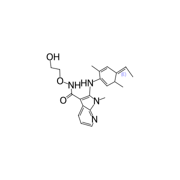 C/C=C1/C=C(C)C(Nc2c(C(=O)NOCCO)c3cccnc3n2C)=CC1C